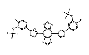 Fc1ccc(-c2ccc(-c3c4c(c(-c5ccc(-c6ccc(F)c(OC(F)(F)F)c6)s5)c5nsnc35)N=S=N4)s2)cc1OC(F)(F)F